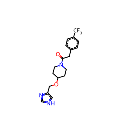 O=C(Cc1ccc(C(F)(F)F)cc1)N1CCC(OCc2c[nH]cn2)CC1